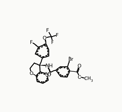 COC(=O)c1ccc(C(=O)N[C@]2(c3ccc(OC(F)(F)F)c(F)c3)CCOc3cccnc32)cc1Br